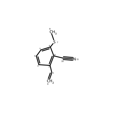 C=Cc1cccc(SC)c1C#N